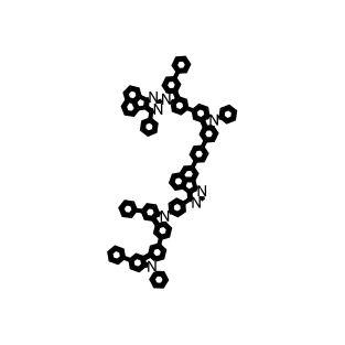 c1ccc(-c2ccc3c(c2)c2cc(-c4ccc5c(c4)c4cc(-c6ccccc6)ccc4n5-c4ccc(-c5ncnc6c5-c5cccc7cc(-c8ccc(-c9ccc%10c(c9)c9cc(-c%11ccc%12c(c%11)c%11cc(-c%13ccccc%13)ccc%11n%12-c%11nc(-c%12ccccc%12)c%12c(n%11)-c%11cccc%13cccc-%12c%11%13)ccc9n%10-c9ccccc9)cc8)cc-6c57)cc4)ccc2n3-c2ccccc2)cc1